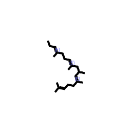 CC/C=C(\C)CC/C=C(\C)CC(C)/C=C(\C)CCC=C(C)C